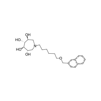 O[C@H]1[C@H](O)[C@@H](O)CN(CCCCCCOCc2ccc3ccccc3c2)C[C@@H]1O